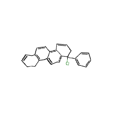 ClC1(c2ccccc2)CC=Cc2c1ccc1c3c(ccc21)C=CCC3